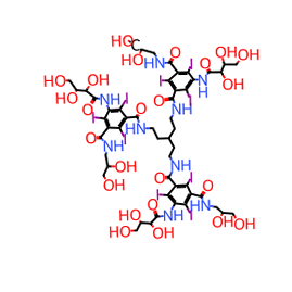 O=C(NCCC(CCNC(=O)c1c(I)c(NC(=O)C(O)C(O)CO)c(I)c(C(=O)NCC(O)CO)c1I)CCNC(=O)c1c(I)c(NC(=O)C(O)C(O)CO)c(I)c(C(=O)NCC(O)CO)c1I)c1c(I)c(NC(=O)C(O)C(O)CO)c(I)c(C(=O)NCC(O)CO)c1I